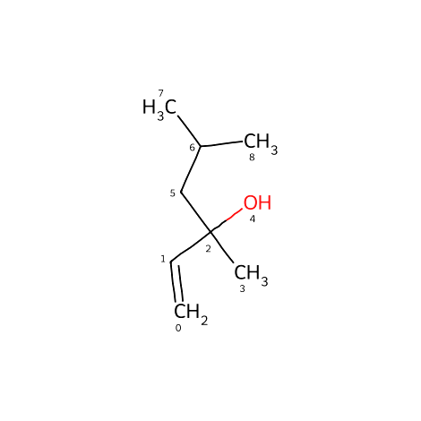 C=CC(C)(O)CC(C)C